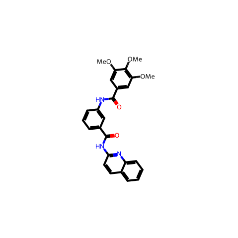 COc1cc(C(=O)Nc2cccc(C(=O)Nc3ccc4ccccc4n3)c2)cc(OC)c1OC